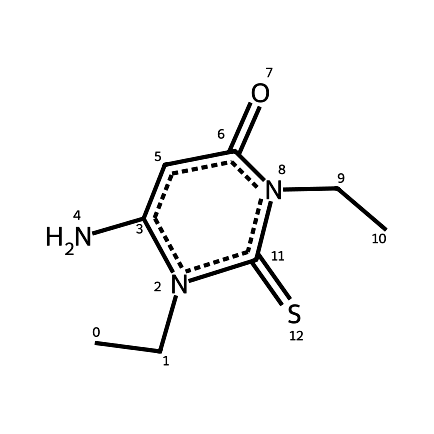 CCn1c(N)cc(=O)n(CC)c1=S